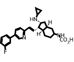 O=C(O)NC1CC[C@@H]2[C@H](C1)C[C@@H](NC1CC1)[C@H]2C=Cc1ccc(-c2cccc(F)c2)cn1